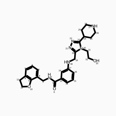 O=C(NCc1cccc2c1OCC2)c1cccc(NCc2nnc(C3CCNCC3)n2CCO)c1